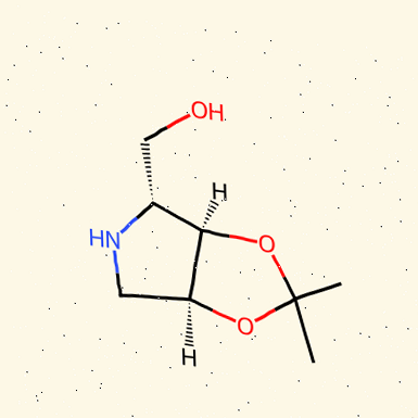 CC1(C)O[C@H]2[C@H](CN[C@@H]2CO)O1